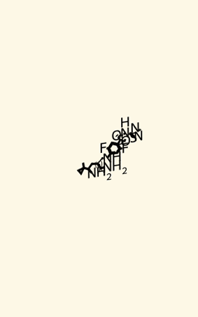 C[C@@H](N)[C@H](CNc1cc(F)c(S(=O)(=O)Nc2ncns2)cc1F)CC(N)C1(C)CC1